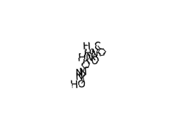 Cc1ccccc1NC(=O)Nc1ccc(-n2cc(CO)nn2)cc1